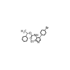 CCn1ncc(-c2ccc(Br)cc2)c1NC(=O)O[C@H](C)c1ccccc1